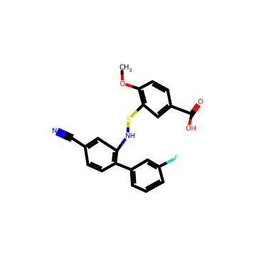 COc1ccc(C(=O)O)cc1SNc1cc(C#N)ccc1-c1cccc(F)c1